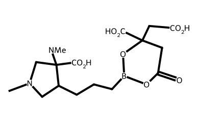 CNC1(C(=O)O)CN(C)CC1CCCB1OC(=O)CC(CC(=O)O)(C(=O)O)O1